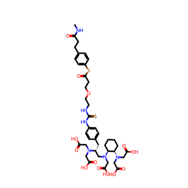 CNC(=O)CCc1ccc(SC(=O)CCOCCNC(=S)Nc2ccc(C[C@H](CN(CC(=O)O)[C@H]3CCCC[C@@H]3N(CC(=O)O)CC(=O)O)N(CC(=O)O)CC(=O)O)cc2)cc1